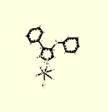 [F][Sb-]([F])([F])([F])([F])[F].[H+].c1ccc(Oc2c[nH]nc2-c2ccccc2)cc1